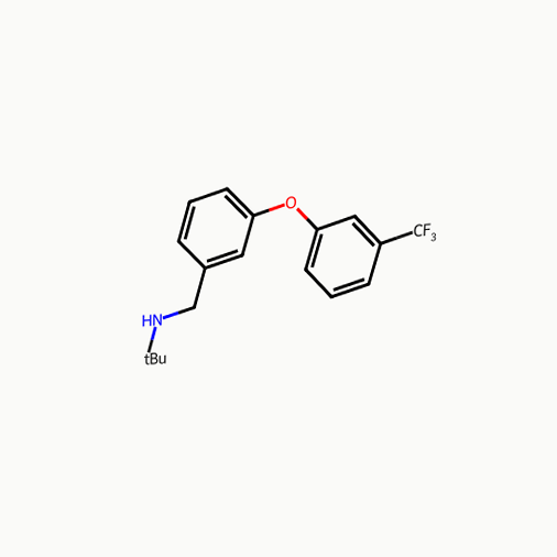 CC(C)(C)NCc1cccc(Oc2cccc(C(F)(F)F)c2)c1